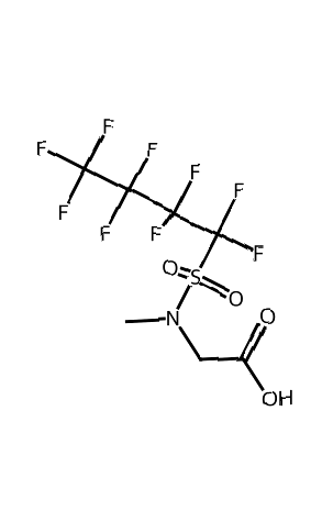 CN(CC(=O)O)S(=O)(=O)C(F)(F)C(F)(F)C(F)(F)C(F)(F)F